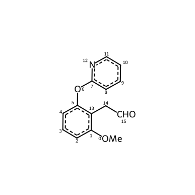 COc1cccc(Oc2ccccn2)c1CC=O